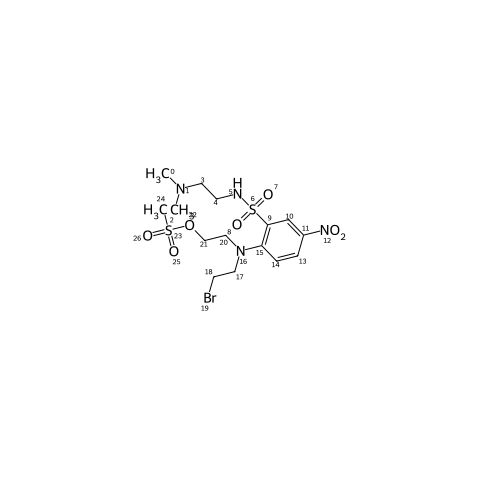 CN(C)CCNS(=O)(=O)c1cc([N+](=O)[O-])ccc1N(CCBr)CCOS(C)(=O)=O